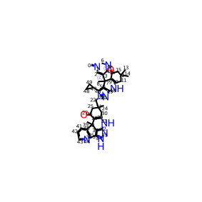 C=N/C=C(\C=N/C)C1(C)C2=C(CC(C)(C)CC2=O)Nc2nn(CC3(C)CC(=O)C4=C(C3)Nc3n[nH]c(C)c3C4(C)c3cccnc3)c(C3CC3)c21